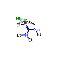 Br.Br.CCCCCC.CCN=C(NCC)N(CC)CC